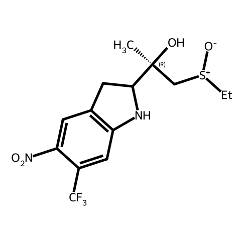 CC[S+]([O-])C[C@](C)(O)C1Cc2cc([N+](=O)[O-])c(C(F)(F)F)cc2N1